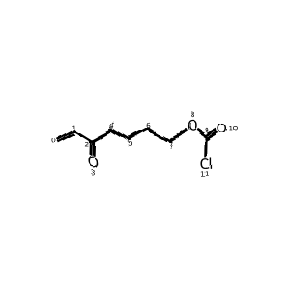 C=CC(=O)CCCCOC(=O)Cl